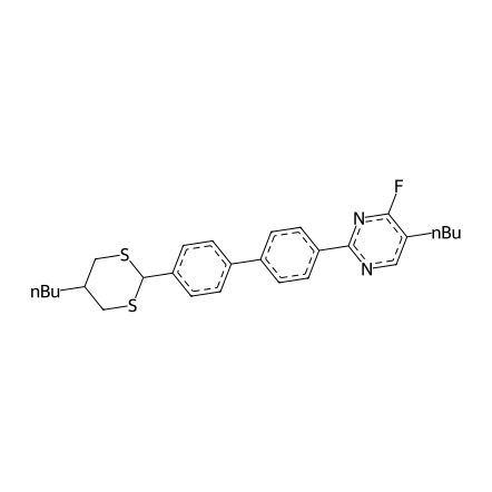 CCCCc1cnc(-c2ccc(-c3ccc(C4SCC(CCCC)CS4)cc3)cc2)nc1F